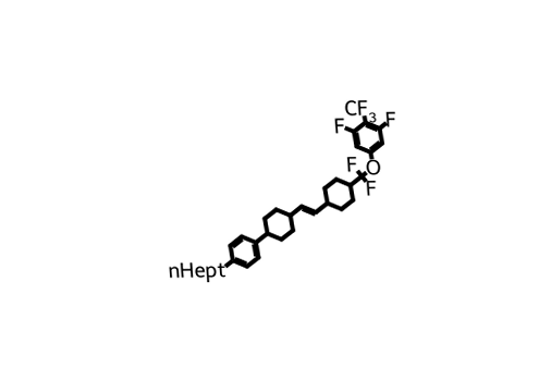 CCCCCCCc1ccc(C2CCC(/C=C/C3CCC(C(F)(F)Oc4cc(F)c(C(F)(F)F)c(F)c4)CC3)CC2)cc1